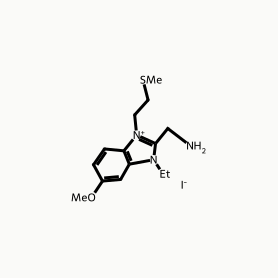 CCn1c(CN)[n+](CCSC)c2ccc(OC)cc21.[I-]